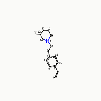 C=Cc1ccc(CCN2CCCC(C)C2)cc1